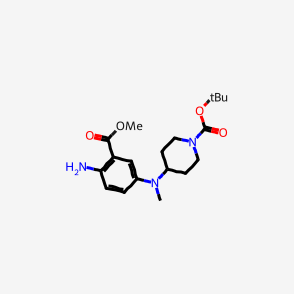 COC(=O)c1cc(N(C)C2CCN(C(=O)OC(C)(C)C)CC2)ccc1N